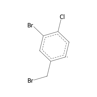 Clc1c[c]c(CBr)cc1Br